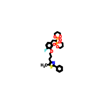 Cc1sc(-c2ccccc2)nc1CCCOc1cc(CC(P2(=O)OCCCO2)P2(=O)OCCCO2)ccc1F